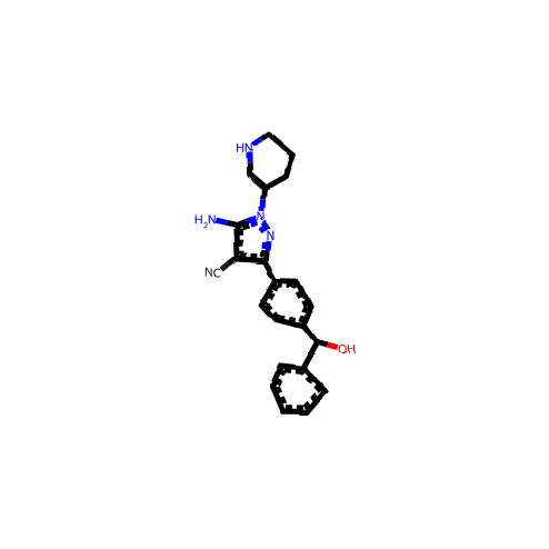 N#Cc1c(-c2ccc(C(O)c3ccccc3)cc2)nn(C2CCCNC2)c1N